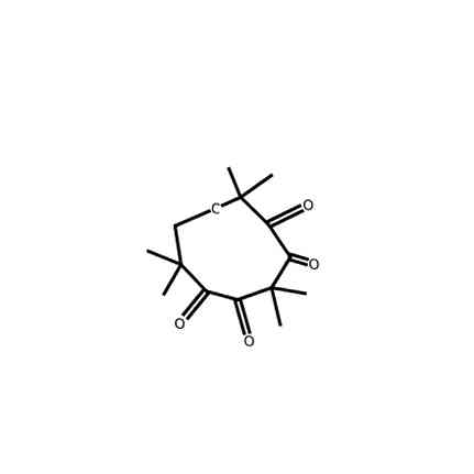 CC1(C)CCC(C)(C)C(=O)C(=O)C(C)(C)C(=O)C1=O